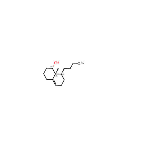 CC(=O)OCCC[C@H]1CCC=C2CCC[C@H](O)[C@@]21C